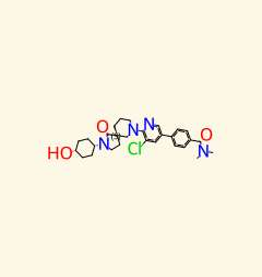 CN(C)C(=O)c1ccc(-c2cnc(N3CCC[C@]4(CCN([C@H]5CC[C@@H](O)CC5)C4=O)C3)c(Cl)c2)cc1